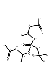 CC(=O)OC(C)OP(=O)(OC(C)OC(C)=O)OC(C)(C)C